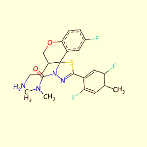 CC1C=C(F)C(C2=NN(C(=O)N(C)C)C3(S2)c2cc(F)ccc2OCC3CCN)=CC1F